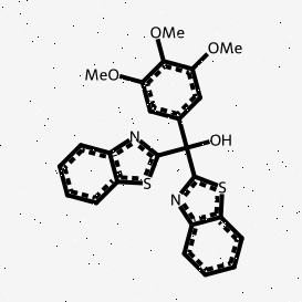 COc1cc(C(O)(c2nc3ccccc3s2)c2nc3ccccc3s2)cc(OC)c1OC